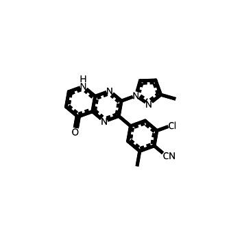 Cc1ccn(-c2nc3[nH]ccc(=O)c3nc2-c2cc(C)c(C#N)c(Cl)c2)n1